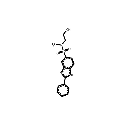 CN(CCC#N)S(=O)(=O)c1ccc2[nH]c(-c3ccccc3)nc2c1